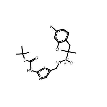 CC(C)(C)OC(=O)Nc1ncc(CN[S@+]([O-])C(C)(C)Cc2ccc(F)cc2Cl)s1